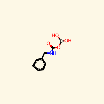 O=C(NCc1ccccc1)OB(O)O